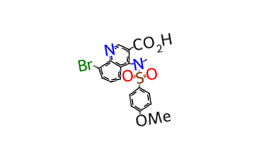 COc1ccc(S(=O)(=O)N(C)c2c(C(=O)O)cnc3c(Br)cccc23)cc1